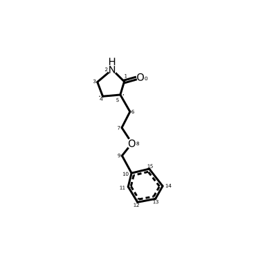 O=C1NC[CH][C]1CCOCc1ccccc1